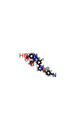 Cc1cc(-c2cccc(OCc3ccc(C#N)cc3F)n2)ccc1Cc1nc2ccc(C(=O)O)cc2n1CC1CCO1